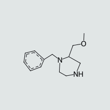 COCC1CNCCN1Cc1ccccc1